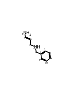 NC=CCNCc1ccccc1